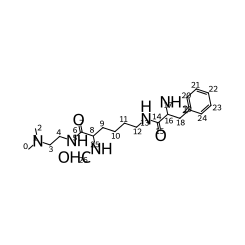 CN(C)CCNC(=O)C(CCCCNC(=O)C(N)Cc1ccccc1)NC=O